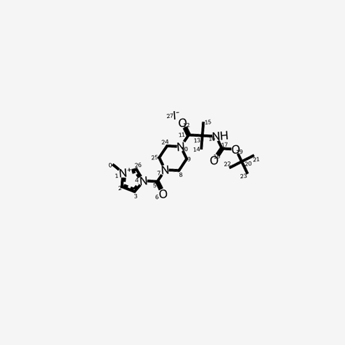 C[n+]1ccn(C(=O)N2CCN(C(=O)C(C)(C)NC(=O)OC(C)(C)C)CC2)c1.[I-]